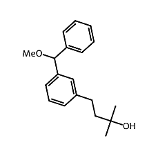 COC(c1ccccc1)c1cccc(CCC(C)(C)O)c1